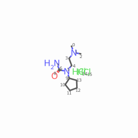 CN(C)CCN(C(N)=O)C1CCCC1.Cl.Cl